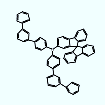 c1ccc(-c2cccc(-c3ccc(N(c4ccc(-c5cccc(-c6ccccc6)c5)cc4)c4ccc5c(c4)C4(c6ccccc6-c6ccccc64)c4ccccc4-5)cc3)c2)cc1